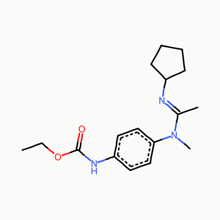 CCOC(=O)Nc1ccc(N(C)C(C)=NC2CCCC2)cc1